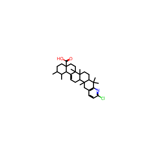 CC1CCC2(C(=O)O)CCC3(C)C(=CCC4C5(C)Cc6ccc(Cl)nc6C(C)(C)C5CCC43C)C2C1C